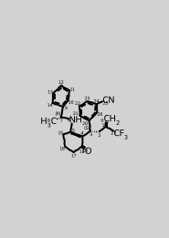 C=C(C[C@H](C1=C(N[C@H](C)c2ccccc2)CCCC1=O)c1cccc(C#N)c1)C(F)(F)F